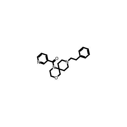 O=C(c1cccnc1)N1CCOCC12CCN(CCc1ccccc1)CC2